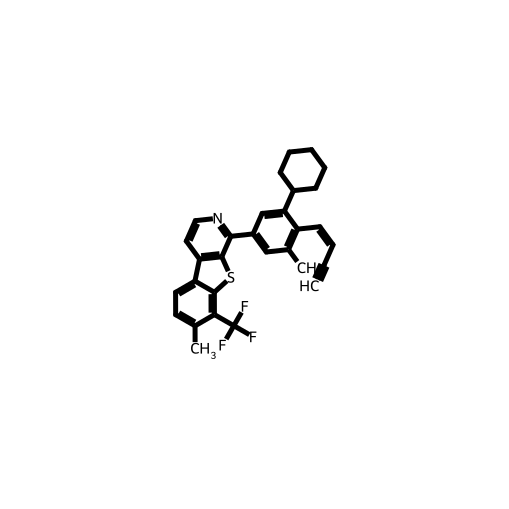 C#C/C=C\c1c(C)cc(-c2nccc3c2sc2c(C(F)(F)F)c(C)ccc23)cc1C1CCCCC1